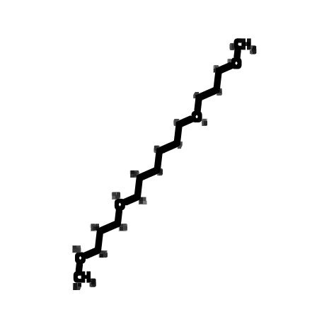 COCCCOCC[CH]CCCOCCCOC